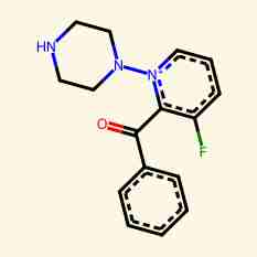 O=C(c1ccccc1)c1c(F)ccc[n+]1N1CCNCC1